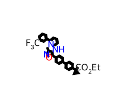 CCOC(=O)C1(c2ccc(-c3ccc(-c4onc(C)c4Nc4cccc(-c5cccc(C(F)(F)F)c5)n4)cc3)cc2)CC1